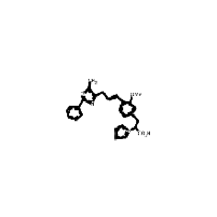 COc1cc(CC(C(=O)O)n2cccc2)ccc1C=CCc1nc(-c2ccccc2)oc1C